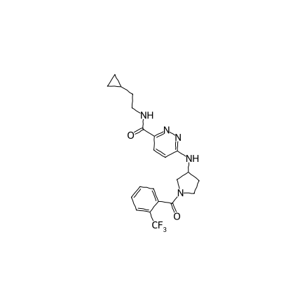 O=C(NCCC1CC1)c1ccc(NC2CCN(C(=O)c3ccccc3C(F)(F)F)C2)nn1